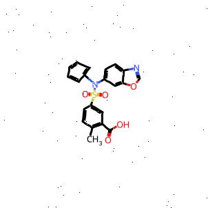 Cc1ccc(S(=O)(=O)N(c2ccccc2)c2ccc3ncoc3c2)cc1C(=O)O